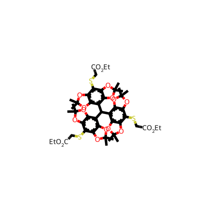 CCOC(=O)CSc1c2c(c(C(c3c4c(c(SCC(=O)OCC)c5c3OC(C)(C)O5)OC(C)(C)O4)c3c4c(c(SCC(=O)OCC)c5c3OC(C)(C)O5)OC(C)(C)O4)c3c1OC(C)(C)O3)OC(C)(C)O2